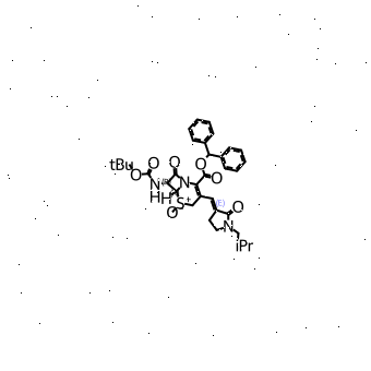 CC(C)CN1CC/C(=C\C2=C(C(=O)OC(c3ccccc3)c3ccccc3)N3C(=O)[C@@H](NC(=O)OC(C)(C)C)[C@H]3[S+]([O-])C2)C1=O